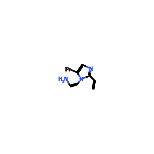 C=Cc1ncc(C(C)C)n1/C=C\N